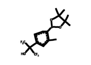 Cc1cc(C(O)(C(F)(F)F)C(F)(F)F)ccc1B1OC(C)(C)C(C)(C)O1